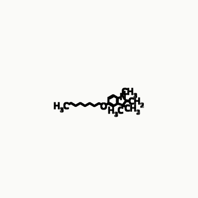 C=C1N(C)c2ccc(OCCCCCCCC)cc2C1(C)C